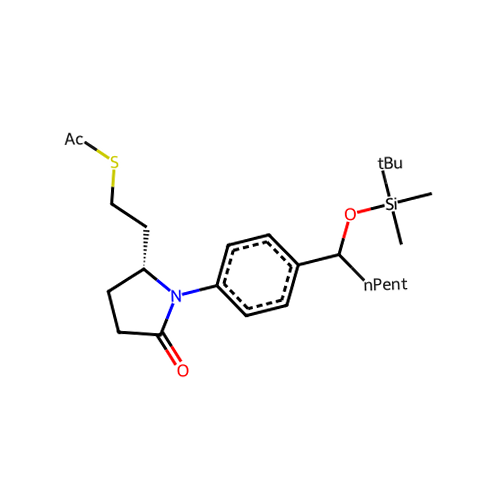 CCCCCC(O[Si](C)(C)C(C)(C)C)c1ccc(N2C(=O)CC[C@@H]2CCSC(C)=O)cc1